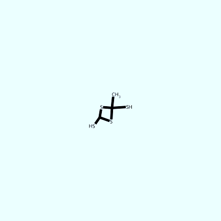 CC1(S)SC(S)S1